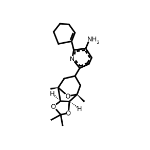 CC1(C)O[C@@H]2[C@H](O1)[C@@]1(C)CC(c3ccc(N)c(C4=CCCCC4)n3)C[C@]2(C)O1